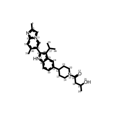 Cc1cn2cc(-c3[nH]c4ccc(C5CCN(C(=O)CC(C)O)CC5)cc4c3C(C)C)c(C)cc2n1